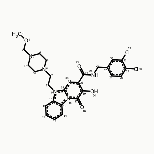 COCN1CCN(CCn2c3ccccc3n3c(=O)c(O)c(C(=O)NCc4ccc(Cl)c(Cl)c4)nc23)CC1